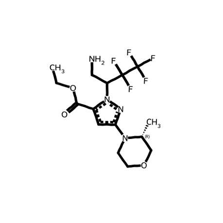 CCOC(=O)c1cc(N2CCOC[C@H]2C)nn1C(CN)C(F)(F)C(F)(F)F